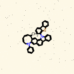 C=C1/C=C\C=C/CN(c2ccccc2)c2cc3ccc4c5ccccc5n(-c5cccc6c5sc5ccccc56)c4c3cc21